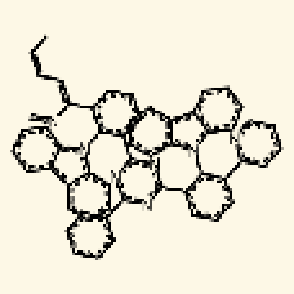 C=N/C(=C\C=C/C)c1cccc(-c2nc(-c3ccccc3)nc(-c3cccc(-c4ccccn4)c3-n3c4ccccc4c4ccccc43)n2)c1-n1c2ccccc2c2ccccc21